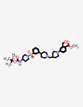 COC(=O)c1ccc(N2CCC(CN3CCC(c4cccc(S(=O)(=O)N5CCC(NC(=O)OC(C)(C)C)CC5)c4)CC3)CC2)cc1C=O